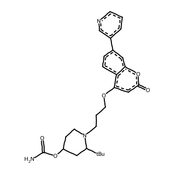 CC(C)(C)C1CC(OC(N)=O)CCN1CCCOc1cc(=O)oc2cc(-c3cccnc3)ccc12